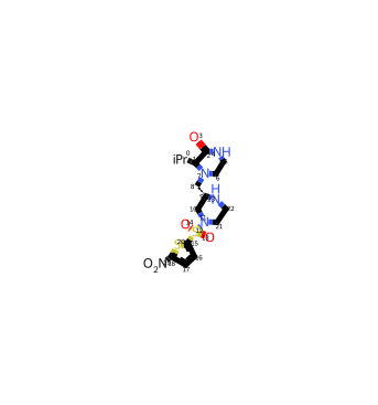 CC(C)C1C(=O)NCCN1C[C@H]1CN(S(=O)(=O)c2ccc([N+](=O)[O-])s2)CCN1